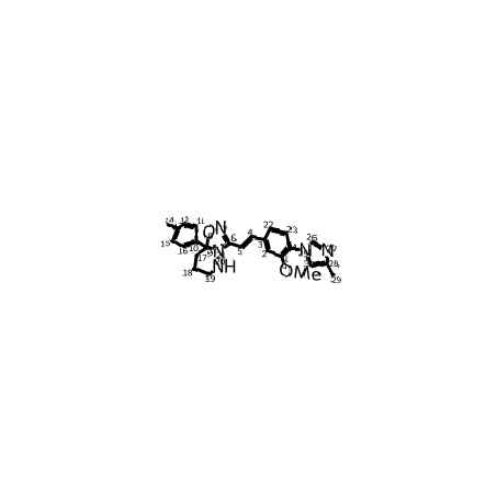 COc1cc(/C=C/C2=NOC3(c4ccc(C)cc4)CCCNN23)ccc1-n1cnc(C)c1